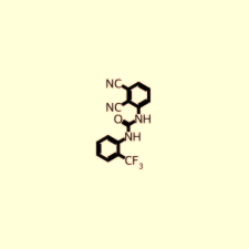 N#Cc1cccc(NC(=O)Nc2ccccc2C(F)(F)F)c1C#N